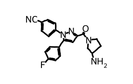 N#Cc1ccc(-n2nc(C(=O)N3CCC(N)C3)cc2-c2ccc(F)cc2)cc1